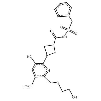 CCOC(=O)c1cc(C#N)c(N2CC(C(=O)NS(=O)(=O)Cc3ccccc3)C2)nc1CSCCO